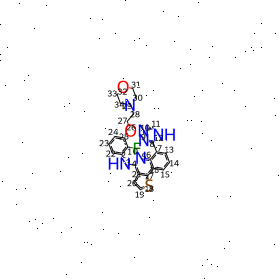 Fc1c(Nc2nc3c(-c4nnc[nH]4)cccc3c3sccc23)cccc1OCCN1CCOCC1